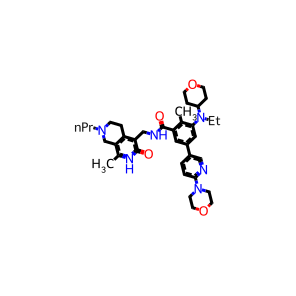 CCCN1CCc2c(c(C)[nH]c(=O)c2CNC(=O)c2cc(-c3ccc(N4CCOCC4)nc3)cc(N(CC)C3CCOCC3)c2C)C1